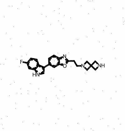 Fc1ccc2c(-c3ccc4nc(CCN5CC6(CNC6)C5)oc4c3)c[nH]c2c1